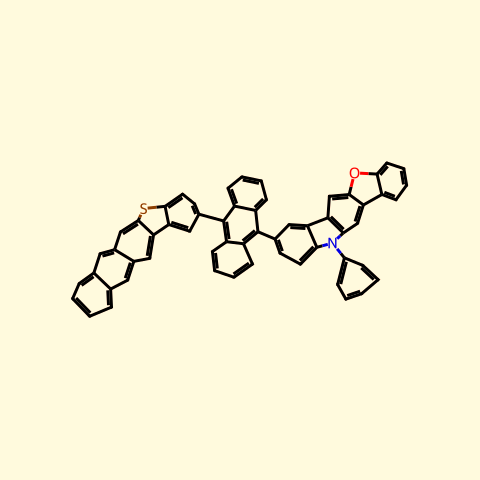 c1ccc(-n2c3ccc(-c4c5ccccc5c(-c5ccc6sc7cc8cc9ccccc9cc8cc7c6c5)c5ccccc45)cc3c3cc4oc5ccccc5c4cc32)cc1